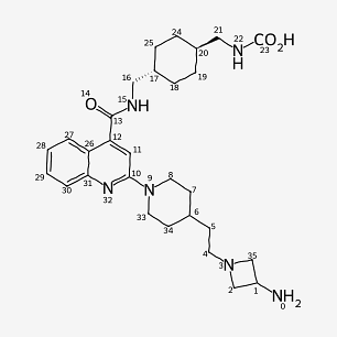 NC1CN(CCC2CCN(c3cc(C(=O)NC[C@H]4CC[C@H](CNC(=O)O)CC4)c4ccccc4n3)CC2)C1